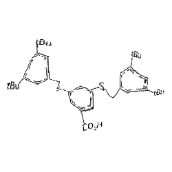 CC(C)(C)c1cc(CSc2cc(SCc3cc(C(C)(C)C)cc(C(C)(C)C)c3)cc(C(=O)O)c2)cc(C(C)(C)C)c1